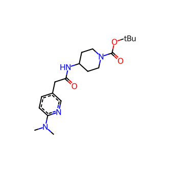 CN(C)c1ccc(CC(=O)NC2CCN(C(=O)OC(C)(C)C)CC2)cn1